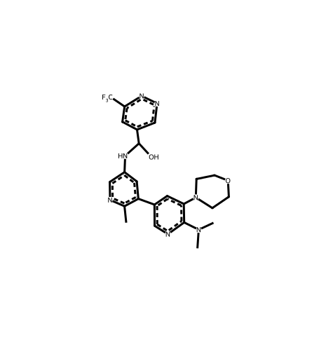 Cc1ncc(NC(O)c2cnnc(C(F)(F)F)c2)cc1-c1cnc(N(C)C)c(N2CCOCC2)c1